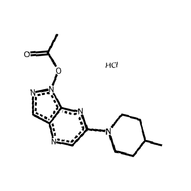 CC(=O)On1ncc2ncc(N3CCC(C)CC3)nc21.Cl